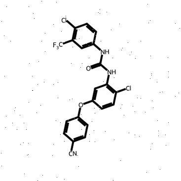 N#Cc1ccc(Oc2ccc(Cl)c(NC(=O)Nc3ccc(Cl)c(C(F)(F)F)c3)c2)cc1